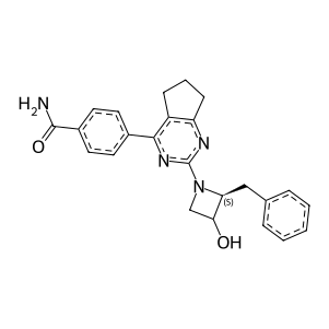 NC(=O)c1ccc(-c2nc(N3CC(O)[C@@H]3Cc3ccccc3)nc3c2CCC3)cc1